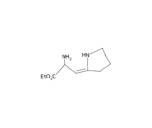 CCOC(=O)C(N)C=C1CCCN1